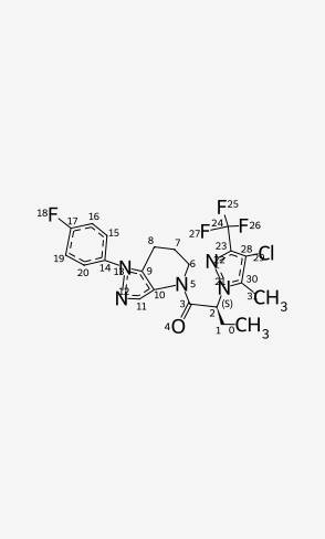 CC[C@@H](C(=O)N1CCCc2c1cnn2-c1ccc(F)cc1)n1nc(C(F)(F)F)c(Cl)c1C